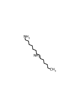 CCCCCCCCCCCCCCN.N